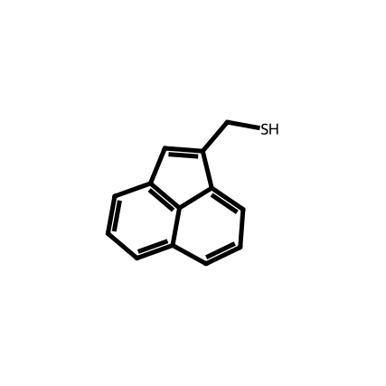 SCC1=Cc2cccc3cccc1c23